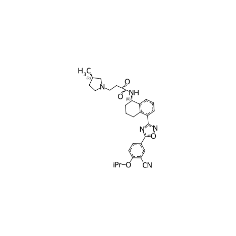 CC(C)Oc1ccc(-c2nc(-c3cccc4c3CCC[C@H]4NS(=O)(=O)CCN3CC[C@@H](C)C3)no2)cc1C#N